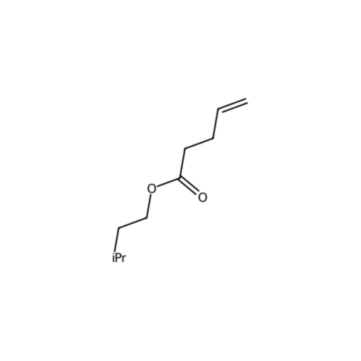 C=CCCC(=O)OCCC(C)C